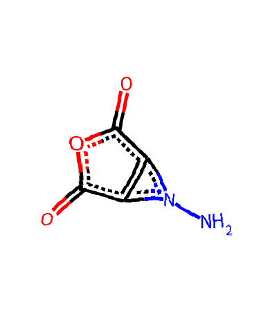 Nn1c2c(=O)oc(=O)c1=2